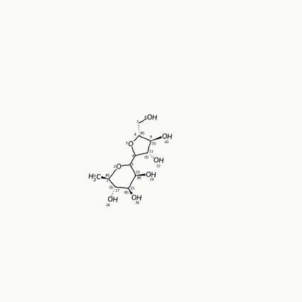 C[C@H]1O[C](C2O[C@H](CO)[C@@H](O)[C@@H]2O)[C@@H](O)[C@@H](O)[C@@H]1O